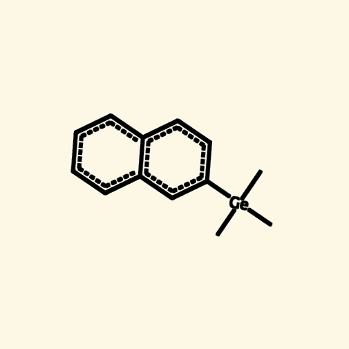 [CH3][Ge]([CH3])([CH3])[c]1ccc2ccccc2c1